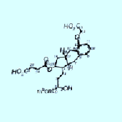 CCCCC[C@H](O)CC[C@@H]1[C@H]2Cc3cccc(OCC(=O)O)c3C[C@H]2C[C@H]1OC(=O)CCC(=O)O